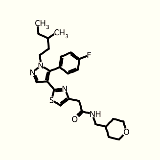 CCC(C)CCn1ncc(-c2nc(CC(=O)NCC3CCOCC3)cs2)c1-c1ccc(F)cc1